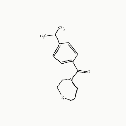 CC(C)c1ccc(C(=O)N2CCSCC2)cc1